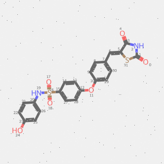 O=C1NC(=O)C(=Cc2ccc(Oc3ccc(S(=O)(=O)Nc4ccc(O)cc4)cc3)cc2)S1